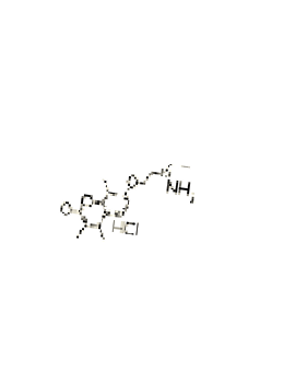 CC[C@H](N)CCOc1ccc2c(C)c(C)c(=O)oc2c1C.Cl